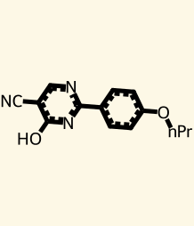 CCCOc1ccc(-c2ncc(C#N)c(O)n2)cc1